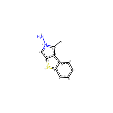 Cc1c2c(cn1N)sc1ccccc12